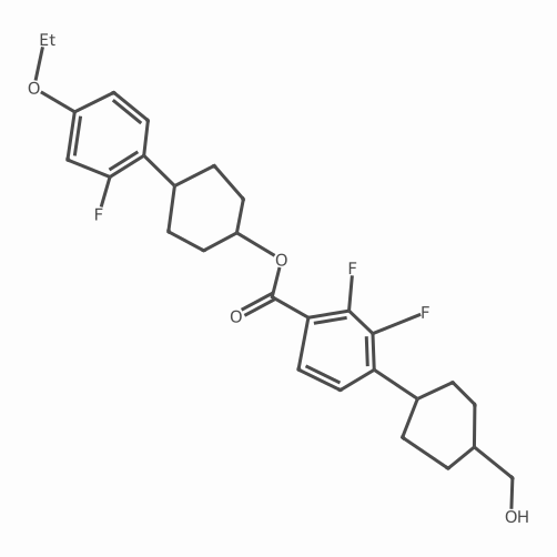 CCOc1ccc(C2CCC(OC(=O)c3ccc(C4CCC(CO)CC4)c(F)c3F)CC2)c(F)c1